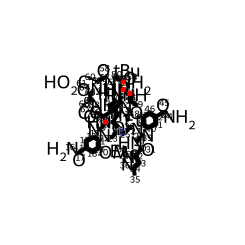 CCn1nc(C)cc1C(=O)Nc1nc2cc(C(N)=O)cc(OC)c2n1C/C=C/Cn1c(NC(=O)c2cc(C)nn2CC)nc2cc(C(N)=O)cc(OCCCNC(=O)[C@@H](NC(=O)[C@H](CC(=O)O)NC(=O)[C@H](CC(=O)O)NC(=O)[C@@H](C)CCCNC(=N)N)C(C)(C)C)c21